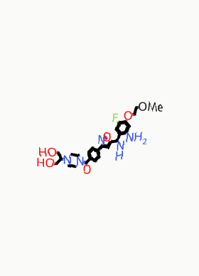 COCCOc1cc(N)c(C(=N)c2cc(-c3ccc(C(=O)N4CCN(C(CO)CO)CC4)cc3)no2)cc1F